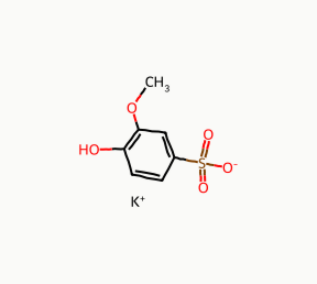 COc1cc(S(=O)(=O)[O-])ccc1O.[K+]